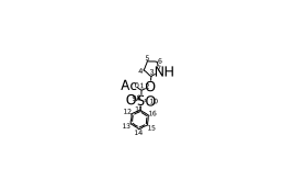 CC(=O)C(OC1CCCN1)S(=O)(=O)c1ccccc1